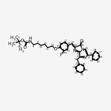 CC(C)(C)OC(=O)NCCCCCCOc1ccc(/C=C2\N=C3C(Cc4ccccc4)=NC(c4ccccc4)=CN3C2=O)cc1F